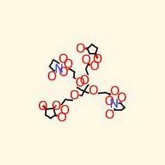 O=C(CCOCC(COCCC(=O)OC1C(=O)CCC1=O)(COCCC(=O)ON1C(=O)CCC1=O)COCCC(=O)ON1C(=O)CCC1=O)OC1C(=O)CCC1=O